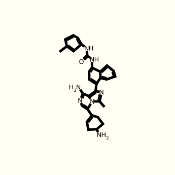 Cc1cccc(NC(=O)Nc2ccc(-c3nc(C)n4c(C5=CCC(N)CC5)cnc(N)c34)c3ccccc23)c1